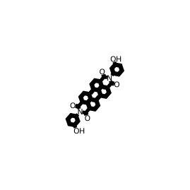 O=C1c2ccc3c4ccc5c6c(ccc(c7ccc(c2c37)C(=O)N1c1cccc(O)c1)c64)C(=O)N(c1cccc(O)c1)C5=O